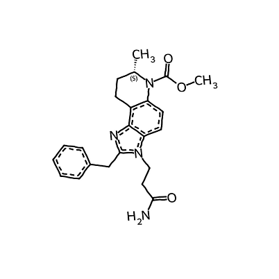 COC(=O)N1c2ccc3c(nc(Cc4ccccc4)n3CCC(N)=O)c2CC[C@@H]1C